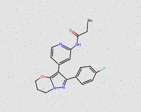 CCC(C)CC(=O)Nc1cc(-c2c(-c3ccc(F)cc3)nn3c2OCCC3)ccn1